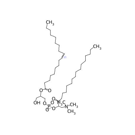 CCCCCCCC/C=C\CCCCCCCC(=O)OC(CO)COP(=O)([O-])OC(C[N+](C)(C)C)C(=O)CCCCCCCCCCCCCCC